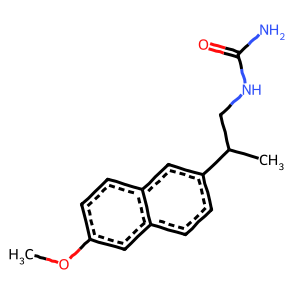 COc1ccc2cc(C(C)CNC(N)=O)ccc2c1